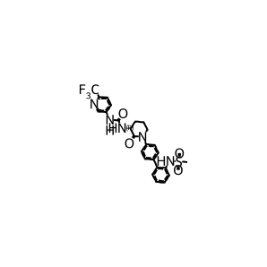 CS(=O)(=O)Nc1ccccc1-c1ccc(N2CCC[C@@H](NC(=O)Nc3ccc(C(F)(F)F)nc3)C2=O)cc1